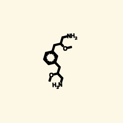 COC(CN)Cc1cccc(CC(CN)OC)c1